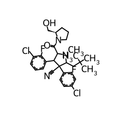 CN1C(C(=O)N2CCC[C@@H]2CO)C(c2cccc(Cl)c2F)C(C#N)(c2ccc(Cl)cc2F)C1CC(C)(C)C